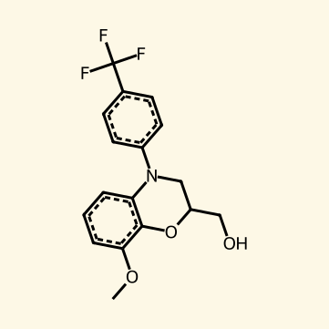 COc1cccc2c1OC(CO)CN2c1ccc(C(F)(F)F)cc1